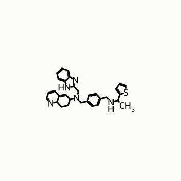 CC(NCc1ccc(CN(Cc2nc3ccccc3[nH]2)C2C=C3C=CC=NC3CC2)cc1)c1cccs1